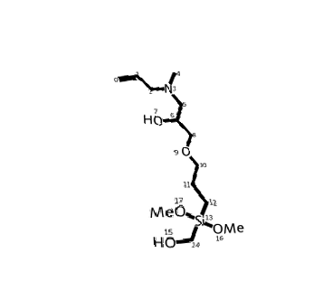 C=CCN(C)CC(O)COCCC[Si](CO)(OC)OC